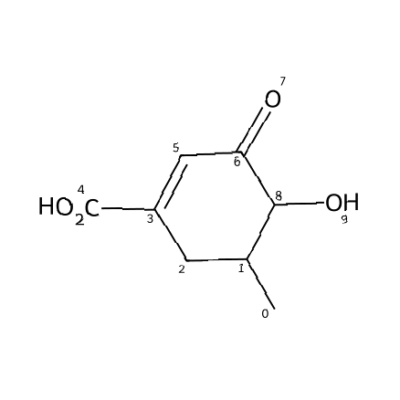 CC1CC(C(=O)O)=CC(=O)C1O